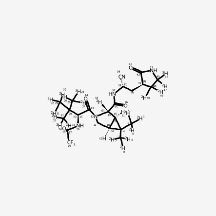 [2H]C([2H])([2H])C1(C([2H])([2H])[2H])[C@H]2[C@@H]1CN(C(=O)[C@@H](NC(=O)C(F)(F)F)C(C([2H])([2H])[2H])(C([2H])([2H])[2H])C([2H])([2H])[2H])[C@]2([2H])C(=O)N[C@H](C#N)C[C@H]1C(=O)NC([2H])([2H])C1([2H])[2H]